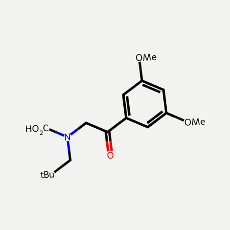 COc1cc(OC)cc(C(=O)CN(CC(C)(C)C)C(=O)O)c1